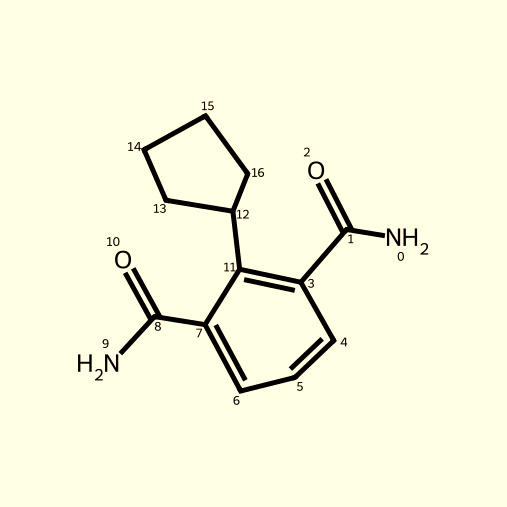 NC(=O)c1cccc(C(N)=O)c1C1CCCC1